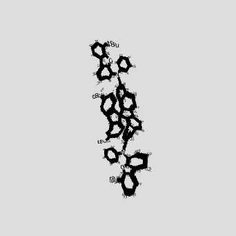 CC(C)(C)c1ccc2c(c1)-c1cc(C(C)(C)C)ccc1C21c2c(ccc3cc(N(c4ccccc4)c4cccc5c4oc4c(C(C)(C)C)cccc45)ccc23)-c2ccc3cc(N(c4ccccc4)c4cccc5c4oc4c(C(C)(C)C)cccc45)ccc3c21